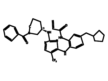 C=CC(=O)Nc1cc(CC2CCCC2)ccc1Nc1nc(N[C@H]2CCCN(C(=O)c3ccccc3)C2)ncc1C(F)(F)F